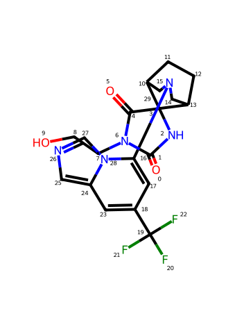 O=C1NC2(C(=O)N1CCO)C1CCC2CN(c2cc(C(F)(F)F)cc3cncn23)C1